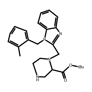 Cc1ccccc1Cn1c(CN2CCNCC2C(=O)OC(C)(C)C)nc2ccccc21